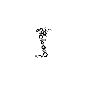 C=CC(=O)N1CCCC[C@@H](S(=O)(=O)c2ccc(N3CC(O)(CN4CCC([C@@](CN5CCC5)(c5cccc(F)c5)[C@H]5CCC[C@@H]5NC(=O)OC)CC4)C3)cc2)C1